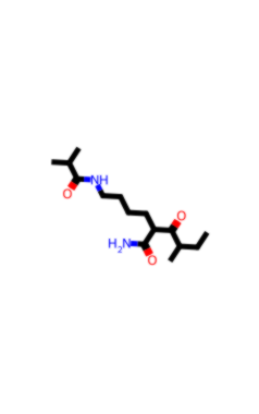 CCC(C)C(=O)C(CCCCNC(=O)C(C)C)C(N)=O